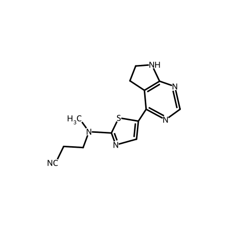 CN(CCC#N)c1ncc(-c2ncnc3c2CCN3)s1